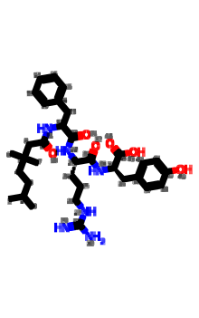 CC(C)CCC(C)(C)CC(=O)NC(Cc1ccccc1)C(=O)N[C@@H](CCCNC(=N)N)C(=O)N[C@H](Cc1ccc(O)cc1)C(=O)O